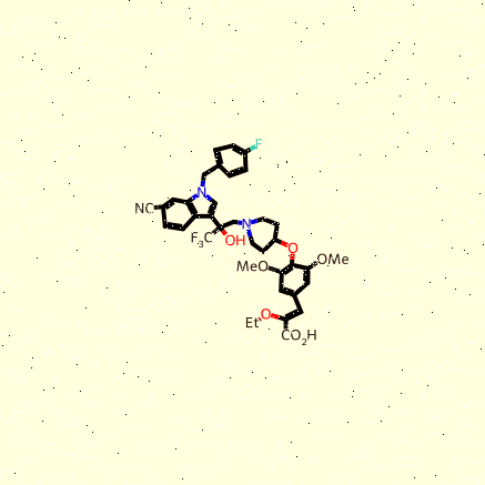 CCOC(=Cc1cc(OC)c(OC2CCN(CC(O)(c3cn(Cc4ccc(F)cc4)c4cc(C#N)ccc34)C(F)(F)F)CC2)c(OC)c1)C(=O)O